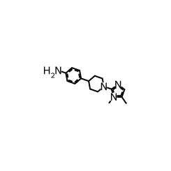 Cc1cnc(N2CCC(c3ccc(N)cc3)CC2)n1C